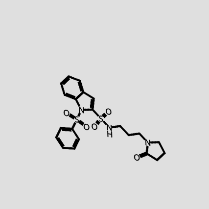 O=C1CCCN1CCCNS(=O)(=O)c1cc2ccccc2n1S(=O)(=O)c1ccccc1